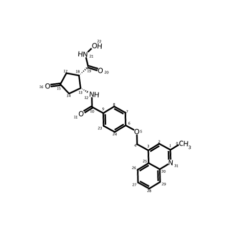 Cc1cc(COc2ccc(C(=O)N[C@@H]3CC(=O)C[C@@H]3C(=O)NO)cc2)c2ccccc2n1